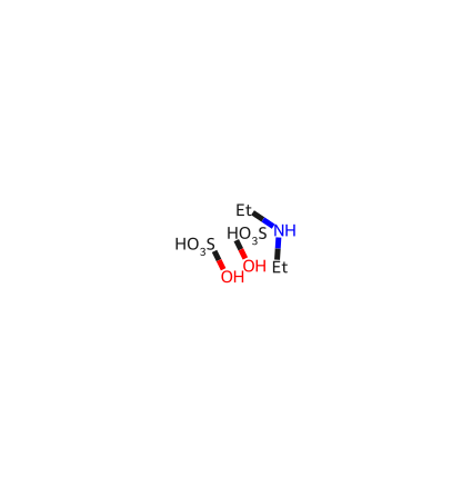 CCNCC.O=S(=O)(O)O.O=S(=O)(O)O